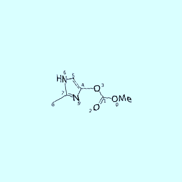 COC(=O)Oc1c[nH]c(C)n1